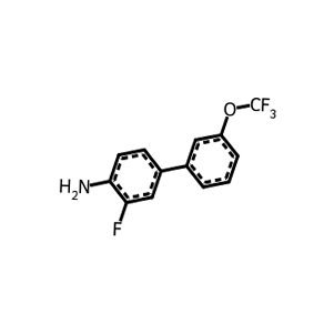 Nc1ccc(-c2cccc(OC(F)(F)F)c2)cc1F